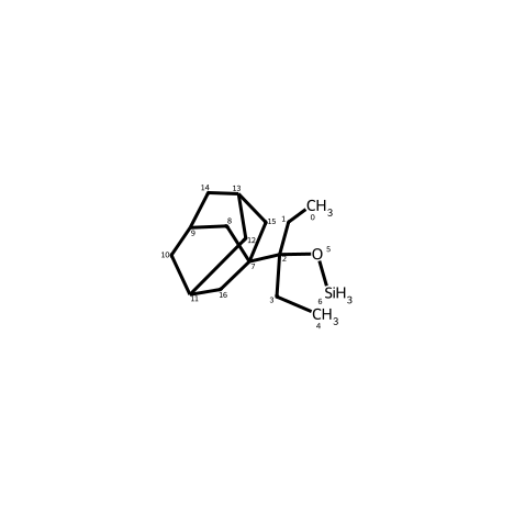 CCC(CC)(O[SiH3])C12CC3CC(CC(C3)C1)C2